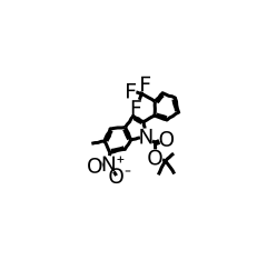 Cc1cc2cc(-c3ccccc3C(F)(F)F)n(C(=O)OC(C)(C)C)c2cc1[N+](=O)[O-]